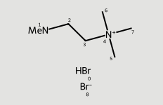 Br.CNCC[N+](C)(C)C.[Br-]